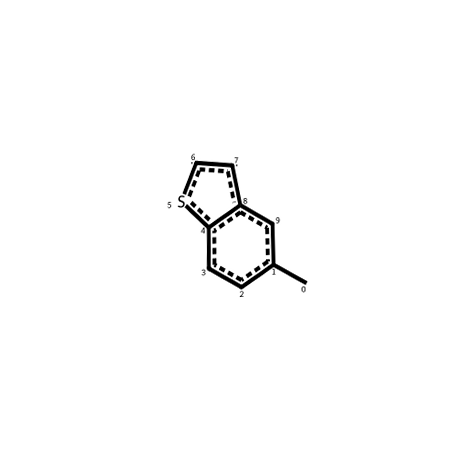 Cc1ccc2s[c][c]c2c1